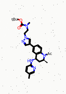 CC(=O)N1c2ccc(-c3cnn(CCN(C)C(=O)OC(C)(C)C)c3)cc2[C@H](Nc2ccc(C)cn2)C[C@@H]1C